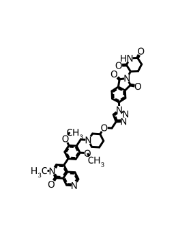 COc1cc(-c2cn(C)c(=O)c3cnccc23)cc(OC)c1CN1CCCC(OCc2cn(-c3ccc4c(c3)C(=O)N(C3CCC(=O)NC3=O)C4=O)nn2)C1